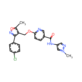 Cc1onc(-c2ccc(Cl)cc2)c1COc1ccc(C(=O)Nc2cnn(C)c2)cn1